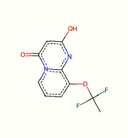 CC(F)(F)Oc1cccn2c(=O)cc(O)nc12